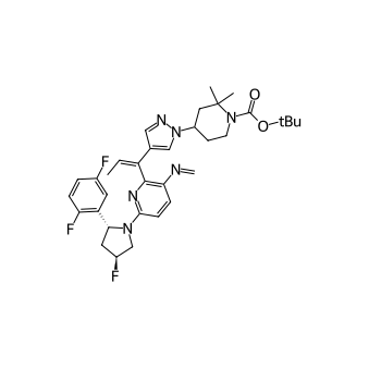 C=Nc1ccc(N2C[C@@H](F)C[C@@H]2c2cc(F)ccc2F)nc1/C(=C\C)c1cnn(C2CCN(C(=O)OC(C)(C)C)C(C)(C)C2)c1